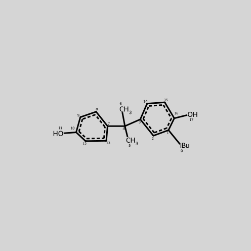 CCC(C)c1cc(C(C)(C)c2ccc(O)cc2)ccc1O